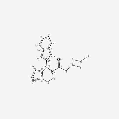 O=C(CC1CC(F)C1)N1CCc2[nH]cnc2[C@H]1c1cc2ccccn2n1